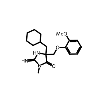 COc1ccccc1OCC1(CC2CCCCC2)NC(=N)N(C)C1=O